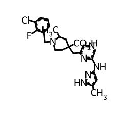 Cc1cc(Nc2cncc(CC3(C(=O)O)CCN(Cc4cccc(Cl)c4F)C(C)C3)n2)n[nH]1